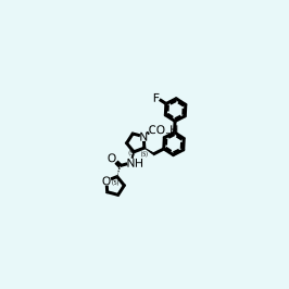 O=C(N[C@H]1CCN(C(=O)O)[C@H]1Cc1cccc(-c2cccc(F)c2)c1)[C@@H]1CCCO1